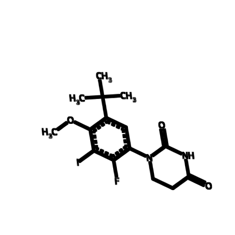 COc1c(C(C)(C)C)cc(N2CCC(=O)NC2=O)c(F)c1I